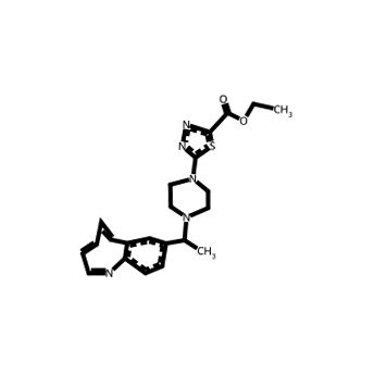 CCOC(=O)c1nnc(N2CCN(C(C)c3ccc4c(c3)/C=C/C=C/C=N\4)CC2)s1